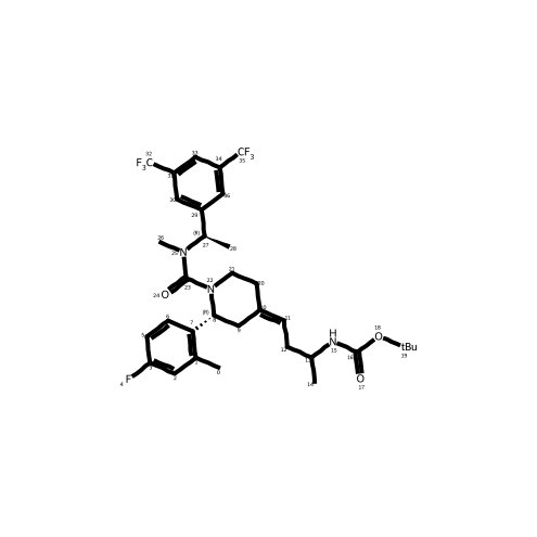 Cc1cc(F)ccc1[C@H]1CC(=CCC(C)NC(=O)OC(C)(C)C)CCN1C(=O)N(C)[C@H](C)c1cc(C(F)(F)F)cc(C(F)(F)F)c1